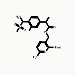 CCCCCc1nc(C(F)(F)F)ccc1CNC(=O)C(C)c1ccc(C(N)S(C)(=O)=O)c(F)c1